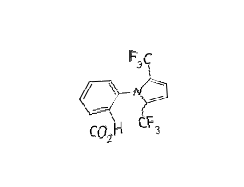 O=C(O)c1ccccc1-n1c(C(F)(F)F)ccc1C(F)(F)F